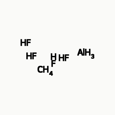 C.F.F.F.F.[AlH3]